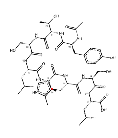 CC[C@H](C)[C@H](NC(=O)[C@H](CC(C)C)NC(=O)[C@H](CO)NC(=O)[C@@H](NC(=O)[C@H](Cc1ccc(O)cc1)NC(C)=O)[C@@H](C)O)C(=O)N[C@@H](Cc1c[nH]cn1)C(=O)N[C@@H](CO)C(=O)N[C@@H](CC(C)C)C(=O)O